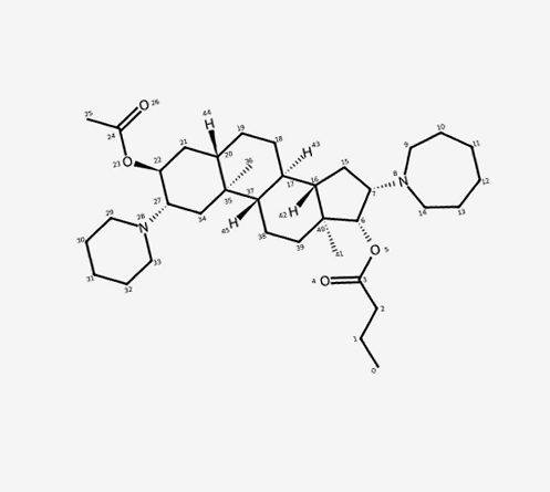 CCCC(=O)O[C@H]1[C@@H](N2CCCCCC2)C[C@H]2[C@@H]3CC[C@H]4C[C@H](OC(C)=O)[C@@H](N5CCCCC5)C[C@]4(C)[C@H]3CC[C@@]21C